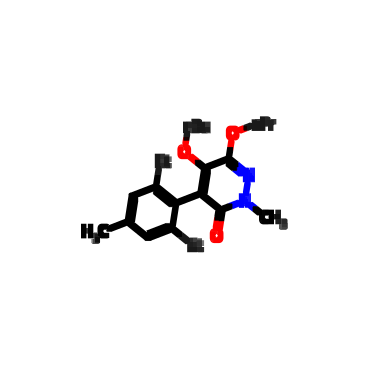 CCCCOc1c(OCCC)nn(C)c(=O)c1-c1c(CC)cc(C)cc1CC